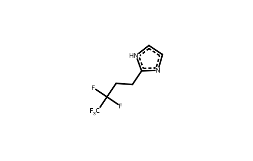 FC(F)(F)C(F)(F)CCc1ncc[nH]1